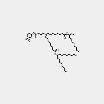 CCCCCCCCC(CC)OC(=O)CCCCCCCN(CCCCCCCC(=O)OC(CCCCCCCC)CCCCCCCC)CCCNSC1CCS(=O)(=O)C1